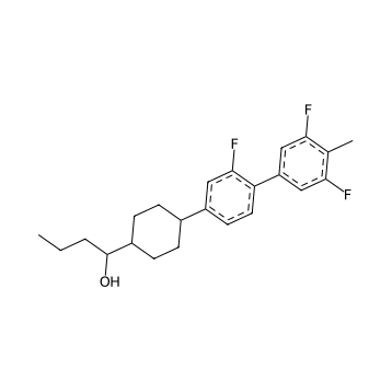 CCCC(O)C1CCC(c2ccc(-c3cc(F)c(C)c(F)c3)c(F)c2)CC1